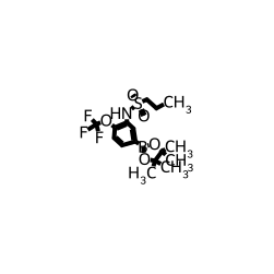 CCCS(=O)(=O)Nc1cc(B2OC(C)(C)C(C)(C)O2)ccc1OC(F)(F)F